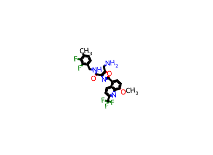 COc1ccc(-c2nc(C(=O)NCc3ccc(C)c(F)c3F)c(CN)o2)c2ccc(C(F)(F)F)nc12